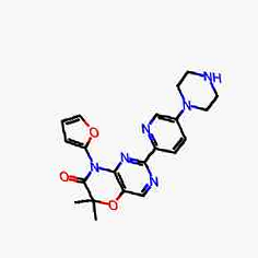 CC1(C)Oc2cnc(-c3ccc(N4CCNCC4)cn3)nc2N(c2ccco2)C1=O